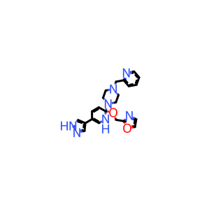 C1=CC(OCc2ncco2)(N2CCN(Cc3ccccn3)CC2)NC=C1c1cn[nH]c1